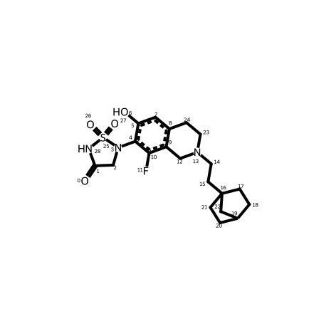 O=C1CN(c2c(O)cc3c(c2F)CN(CCC24CCC(CC2)C4)CC3)S(=O)(=O)N1